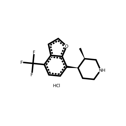 C[C@H]1CNCC[C@H]1c1ccc(C(F)(F)F)c2ccoc12.Cl